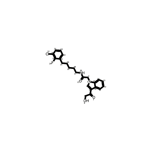 O=C(Cn1cc(C(=O)CO)c2ccccc21)NCCCCCc1cccc(Cl)c1F